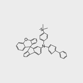 C[Si](C)(C)c1ccc(N(c2ccc(-c3ccccc3)cc2)c2ccc3c(c2)C2(c4ccccc4Oc4ccccc42)c2ccccc2-3)cc1